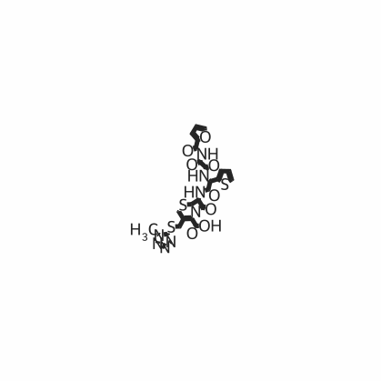 Cn1nnnc1SCC1=C(C(=O)O)N2C(=O)C(NC(=O)C(NC(=O)C(=O)NC(=O)c3ccco3)c3cccs3)C2SC1